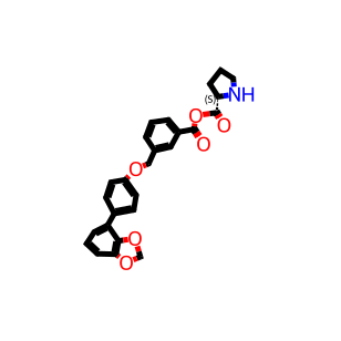 O=C(OC(=O)[C@@H]1CCCN1)c1cccc(COc2ccc(-c3cccc4c3OCO4)cc2)c1